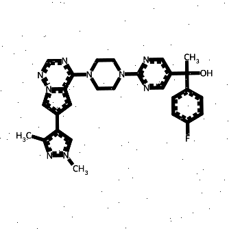 Cc1nn(C)cc1-c1cc2c(N3CCN(c4ncc(C(C)(O)c5ccc(F)cc5)cn4)CC3)ncnn2c1